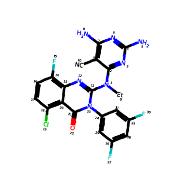 CCN(c1nc(N)nc(N)c1C#N)c1nc2c(F)ccc(Cl)c2c(=O)n1-c1cc(F)cc(F)c1